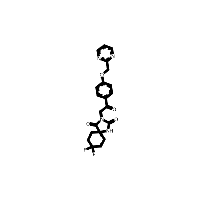 O=C(CN1C(=O)NC2(CCC(F)(F)CC2)C1=O)c1ccc(OCc2ncccn2)cc1